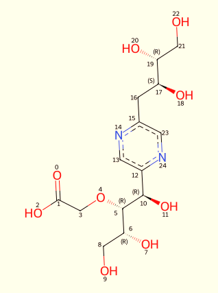 O=C(O)CO[C@@H]([C@H](O)CO)[C@H](O)c1cnc(C[C@H](O)[C@H](O)CO)cn1